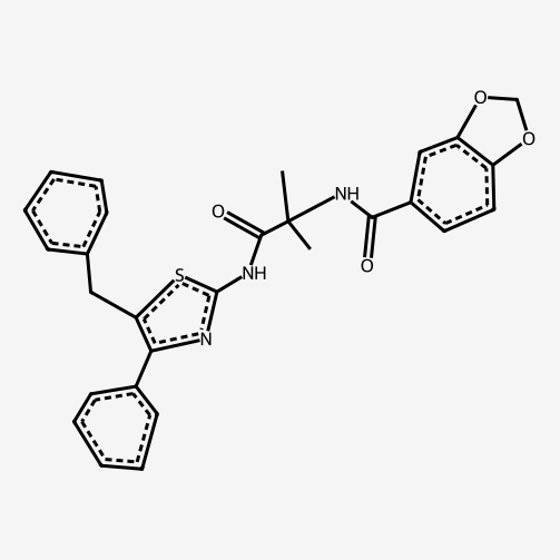 CC(C)(NC(=O)c1ccc2c(c1)OCO2)C(=O)Nc1nc(-c2ccccc2)c(Cc2ccccc2)s1